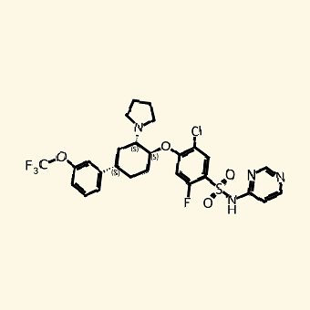 O=S(=O)(Nc1ccncn1)c1cc(Cl)c(O[C@H]2CC[C@H](c3cccc(OC(F)(F)F)c3)C[C@@H]2N2CCCC2)cc1F